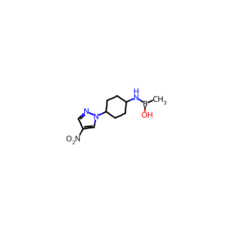 CB(O)NC1CCC(n2cc([N+](=O)[O-])cn2)CC1